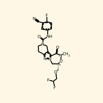 CN1O[C@H](COCC(F)F)Cn2nc3c(c2C1=O)CN(C(=O)Nc1ccc(F)c(C#N)c1)CC3